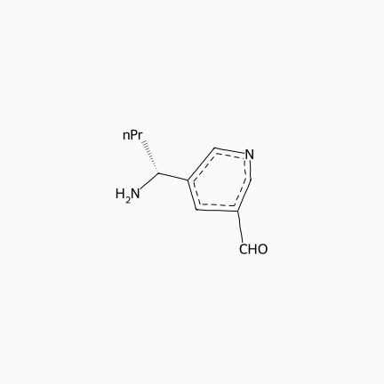 CCC[C@@H](N)c1cncc(C=O)c1